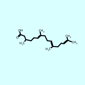 CC(C)=CCCC(C)=CCCC(C)=CCCC(C)CC(=O)O